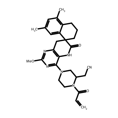 C=CC(=O)N1CCN(c2nc(OC)nc3c2NC(=O)C2(CCCc4c(C)cc(C)cc42)C3)CC1CC#N